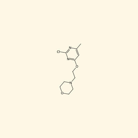 Cc1cc(OCCN2CCOCC2)nc(Cl)n1